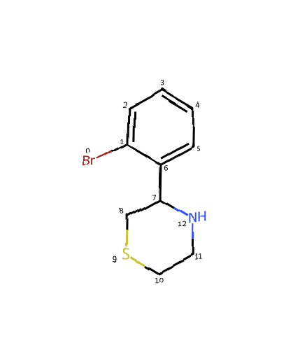 Brc1ccccc1C1CSCCN1